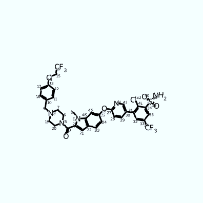 Cn1c(C(=O)N2CCN(Cc3ccc(OCC(F)(F)F)cc3)CC2)cc2ccc(Oc3ccc(-c4cc(C(F)(F)F)cc(S(N)(=O)=O)c4Cl)cn3)cc21